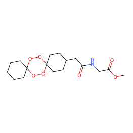 COC(=O)CNC(=O)CC1CCC2(CC1)OOC1(CCCCC1)OO2